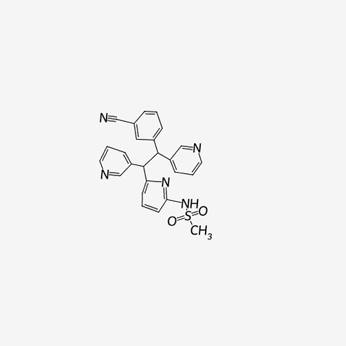 CS(=O)(=O)Nc1cccc(C(c2cccnc2)C(c2cccnc2)c2cccc(C#N)c2)n1